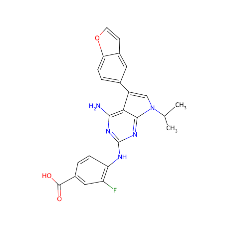 CC(C)n1cc(-c2ccc3occc3c2)c2c(N)nc(Nc3ccc(C(=O)O)cc3F)nc21